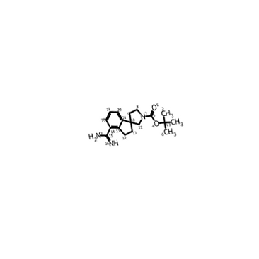 CC(C)(C)OC(=O)N1CCC2(CCc3c(C(=N)N)cccc32)C1